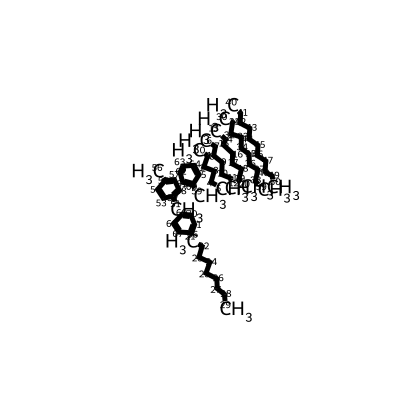 CCCCCC.CCCCCCC.CCCCCCCC.CCCCCCCCC.CCCCCCCCCC.CCCCCCCCCCC.Cc1ccc(C)cc1.Cc1ccccc1.c1ccccc1